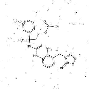 CC(C)(C)C(=O)OCCC(C)(NC(=S)Nc1cccc(Cn2ccoc2=N)c1N)c1cccc(C(F)(F)F)c1